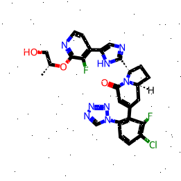 C[C@H](CO)Oc1nccc(-c2cnc([C@@H]3CC[C@H]4CC(c5c(-n6cnnn6)ccc(Cl)c5F)=CC(=O)N43)[nH]2)c1F